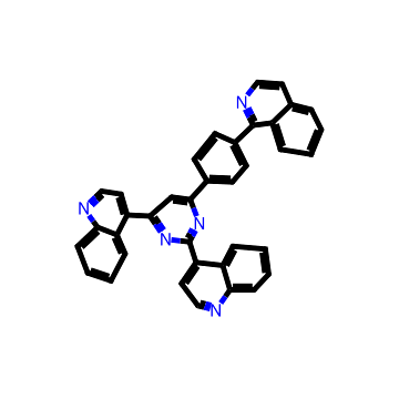 c1ccc2c(-c3ccc(-c4cc(-c5ccnc6ccccc56)nc(-c5ccnc6ccccc56)n4)cc3)nccc2c1